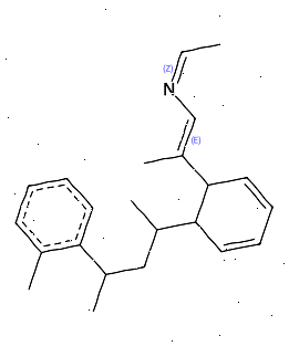 C/C=N\C=C(/C)C1C=CC=CC1C(C)CC(C)c1ccccc1C